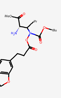 COC(=O)[C@@H](N)C(C(C)C)N(OC(=O)CCc1ccc2c(c1)OCO2)C(=O)OC(C)(C)C